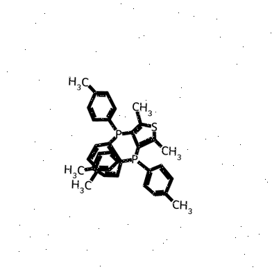 Cc1ccc(P(c2ccc(C)cc2)c2c(C)sc(C)c2P(c2ccc(C)cc2)c2ccc(C)cc2)cc1